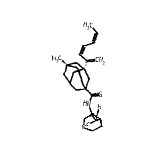 C=C(/C=C\C=C/C)[C@]12CC3CC(C(=S)N[C@H]4CN5CCC4CC5)(C[C@](C)(C3)C1)C2